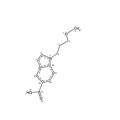 COCCCn1ccc2cc(C(=O)O)ccc21